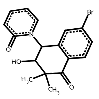 CC1(C)C(=O)c2ccc(Br)cc2C(n2ccccc2=O)C1O